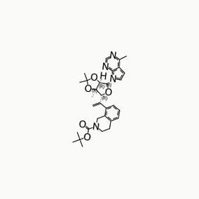 C=C(c1cccc2c1CN(C(=O)OC(C)(C)C)CC2)[C@H]1O[C@@H](n2ccc3c(C)ncnc32)[C@@H]2OC(C)(C)O[C@]12C